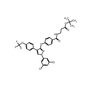 CC(C)(C)OC(=O)CCNC(=O)c1ccc(Oc2nn(-c3cc(Cl)cc(Cl)c3)cc2-c2ccc(OC(F)(F)F)cc2)cc1